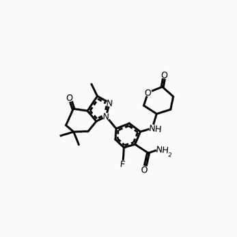 Cc1nn(-c2cc(F)c(C(N)=O)c(NC3CCC(=O)OC3)c2)c2c1C(=O)CC(C)(C)C2